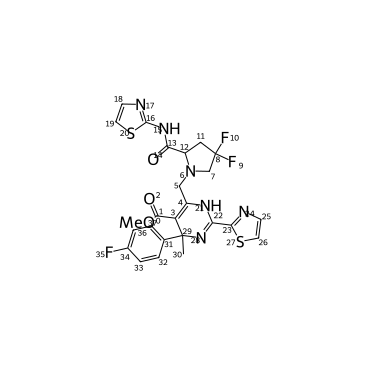 COC(=O)C1=C(CN2CC(F)(F)CC2C(=O)Nc2nccs2)NC(c2nccs2)=NC1(C)c1ccc(F)cc1